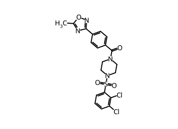 Cc1nc(-c2ccc(C(=O)N3CCN(S(=O)(=O)c4cccc(Cl)c4Cl)CC3)cc2)no1